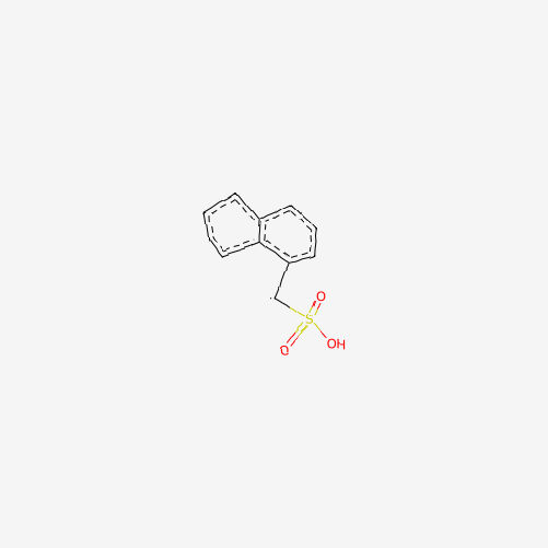 O=S(=O)(O)[CH]c1cccc2ccccc12